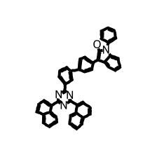 c1cc(-c2ccc(-c3c4ccccc4n4c3oc3ccccc34)cc2)cc(-c2nc(-c3cccc4ccccc34)nc(-c3cccc4ccccc34)n2)c1